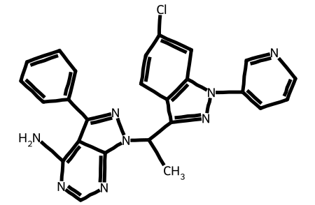 CC(c1nn(-c2cccnc2)c2cc(Cl)ccc12)n1nc(-c2ccccc2)c2c(N)ncnc21